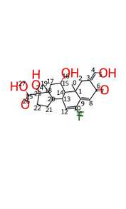 CC12C/C(=C/O)C(=O)C=C1C(F)=CC1C2C(O)CC2(C)C1CC[C@]2(O)C(=O)O